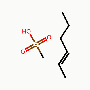 CC=CCCC.CS(=O)(=O)O